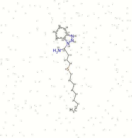 CCCCCCCCSCCCC(N)n1nnc2ccccc21